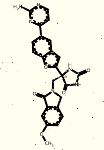 COc1ccc2c(c1)C(=O)N(C[C@@]1(c3cc4cc(-c5ccnc(N)n5)ccc4o3)NC(=O)NC1=O)C2